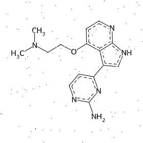 CN(C)CCOc1ccnc2[nH]cc(-c3ccnc(N)n3)c12